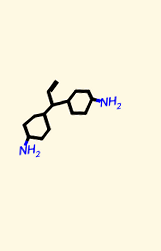 C=CC(C1CCC(N)CC1)C1CCC(N)CC1